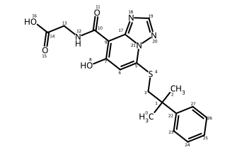 CC(C)(CSc1cc(O)c(C(=O)NCC(=O)O)c2ncnn12)c1ccccc1